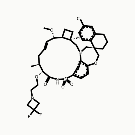 CO[C@H]1/C=C/C[C@H](C)[C@@H](OCCN2CC(F)(F)C2)C(=O)NS(=O)(=O)c2ccc3c(c2)N(C[C@@H]2CCC21)C[C@@]1(CCCc2cc(Cl)ccc21)CO3